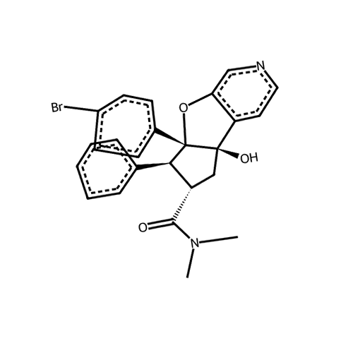 CN(C)C(=O)[C@H]1C[C@@]2(O)c3ccncc3O[C@@]2(c2ccc(Br)cc2)[C@@H]1c1ccccc1